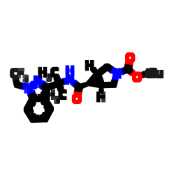 CC(C)(C)OC(=O)N1C[C@@H]2[C@H](C1)[C@H]2C(=O)NC(C)(C)c1nn(CC(F)(F)F)c2ccccc12